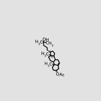 CC(=O)O[C@H]1CC[C@@]2(C)C(=CCC3C2CC[C@@]2(C)C3CC[C@@H]2CCCC(C)(C)O)C1